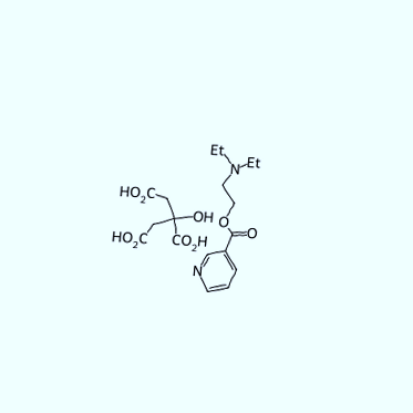 CCN(CC)CCOC(=O)c1cccnc1.O=C(O)CC(O)(CC(=O)O)C(=O)O